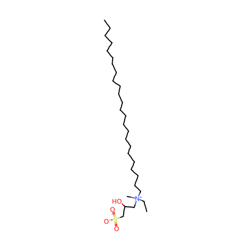 CCCCCCCCCCCCCCCCCCCCCCCC[N+](C)(CC)CC(O)CS(=O)(=O)[O-]